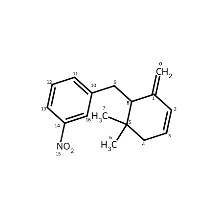 C=C1C=CCC(C)(C)C1Cc1cccc([N+](=O)[O-])c1